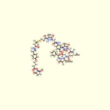 CC[C@H](C)[C@@H](CCC(=O)N1CCC[C@H]1[C@H](OC)[C@@H](C)C(=O)N[C@H](C)[C@@H](O)c1ccccc1)N(C)C(=O)CNC(=O)[C@H](C(C)C)N(C)C(=O)OCc1ccc(NC(=O)CNC(=O)[C@@H](NC(=O)CCSSC(C)(C)CC(=O)N/N=C(\C)c2ccc(OCCCC(=O)ON3C(=O)CCC3=O)cc2)C(C)C)cc1